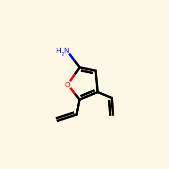 C=Cc1cc(N)oc1C=C